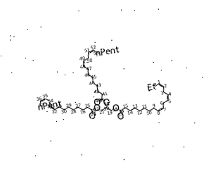 CC/C=C\C/C=C\C/C=C\CCCCCCCC(=O)OCC(COC(=O)CCCCCCC/C=C\C/C=C\CCCCC)OC(=O)CCCCCCC/C=C\C/C=C\CCCCC